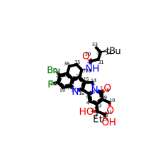 CC[C@]1(O)c2cc3n(c(=O)c2COC1O)Cc1c-3nc2cc(F)c(Br)c3c2c1[C@@H](NC(=O)C[C@@H](C)C(C)(C)C)CC3